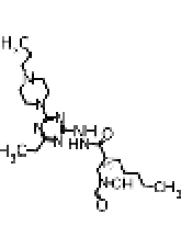 CCCCC[C@@H](CN(O)C=O)C(=O)NNc1nc(CC)nc(N2CCN(CCC)CC2)n1